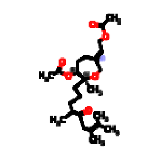 CC(=O)OC/C=C1\CC[C@@H](OC(C)=O)[C@](C)(CCCC(C)C(=O)CC(C)=C(C)C)OC1